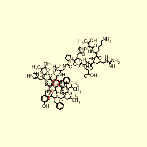 CC[C@H](C)[C@H](NC(=O)[C@H](CO)NC(=O)CNC(=O)[C@@H]1CCCN1C(=O)[C@H](CC(=O)O)NC(=O)[C@H](CCC(=O)O)NC(=O)[C@H](CCCNC(=N)N)NC(=O)[C@H](CCCCN)NC(=O)[C@@H](N)[C@@H](C)O)C(=O)N[C@H](C(=O)N[C@@H](CC(C)C)C(=O)N[C@@H](Cc1ccccc1)C(=O)N[C@@H](Cc1ccc(O)cc1)C(=O)N[C@@H](Cc1c[nH]c2ccccc12)C(=O)N[C@@H](Cc1c[nH]cn1)C(=O)N[C@@H](C)C(=O)O)C(C)C